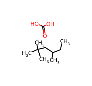 CCC(C)CC(C)(C)C.O=C(O)O